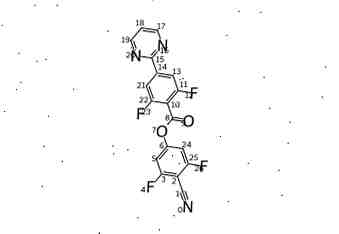 N#Cc1c(F)cc(OC(=O)c2c(F)cc(-c3ncccn3)cc2F)cc1F